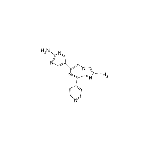 Cc1cn2cc(-c3cnc(N)nc3)nc(-c3ccncc3)c2n1